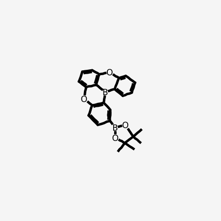 CC1(C)OB(c2ccc3c(c2)B2c4ccccc4Oc4cccc(c42)O3)OC1(C)C